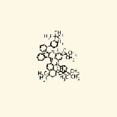 CC(C)(C)c1ccc(N2c3cc(C(C)(C)C)cc4c3B(c3ccc5c(c32)C(C)(C)CCC5(C)C)c2c(sc3ccccc23)N4c2ccc(C(C)(C)C)cc2-c2ccccc2)cc1